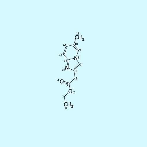 CCOC(=O)Cc1cn2cc(C)ccc2n1